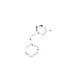 Cc1ncn(Nc2ccccc2)c1C